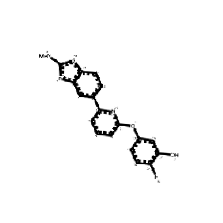 CNc1nc2cc(-c3cccc(Oc4ccc(F)c(O)c4)n3)ccc2s1